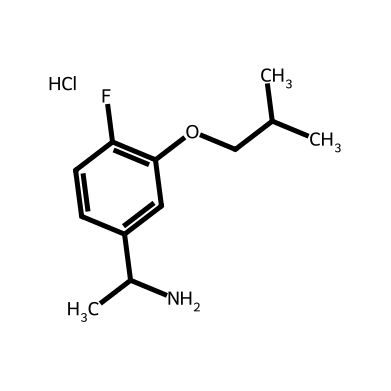 CC(C)COc1cc(C(C)N)ccc1F.Cl